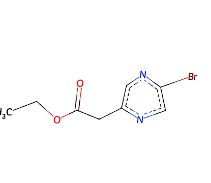 CCOC(=O)Cc1cnc(Br)cn1